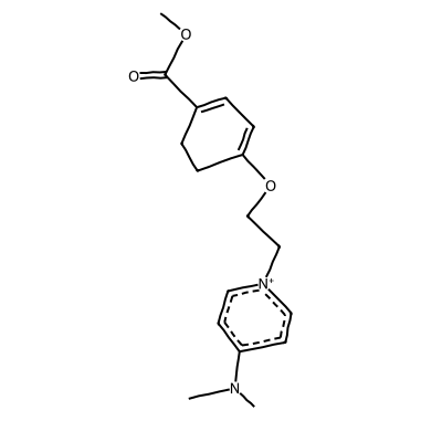 COC(=O)C1=CC=C(OCC[n+]2ccc(N(C)C)cc2)CC1